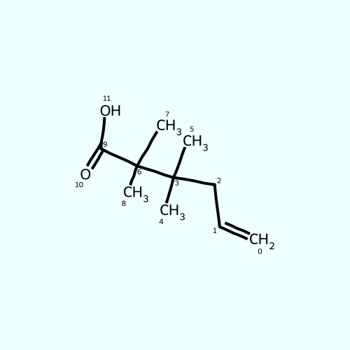 C=CCC(C)(C)C(C)(C)C(=O)O